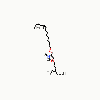 CCCCC/C=C\C/C=C\CCCCCCCCOCC(COCCCC(C)C(=O)O)N(C)C